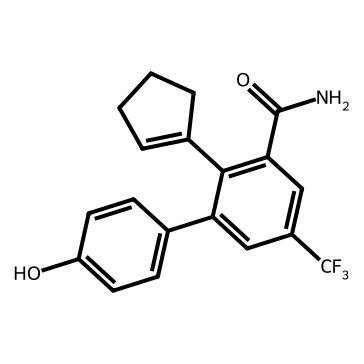 NC(=O)c1cc(C(F)(F)F)cc(-c2ccc(O)cc2)c1C1=CCCC1